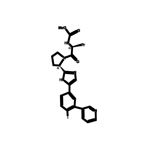 COC(=O)N[C@H](C(=O)N1CCC[C@H]1c1ncc(-c2ccc(I)c(-c3cccnc3)c2)[nH]1)C(C)C